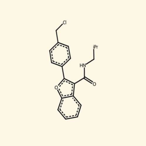 CC(C)CNC(=O)c1c(-c2ccc(CCl)cc2)oc2ccccc12